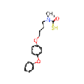 CN(CCCCOc1ccc(Oc2ccccc2)cc1)C(=O)S